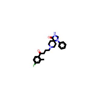 Cc1cc(F)ccc1C(=O)CCCN1CCC2(CC1)C(=O)NCN2c1ccccc1